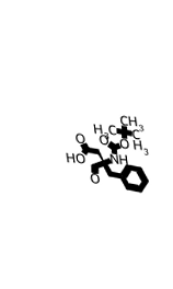 CC(C)(C)OC(=O)N[C@](C=O)(CC(=O)O)Cc1ccccc1